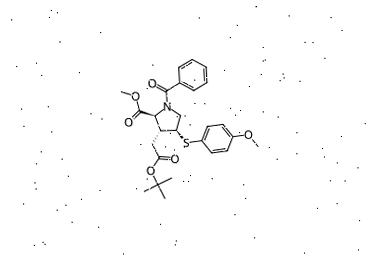 COC(=O)[C@@H]1[C@@H](CC(=O)OC(C)(C)C)[C@H](Sc2ccc(OC)cc2)CN1C(=O)c1ccccc1